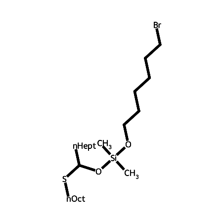 CCCCCCCCSC(CCCCCCC)O[Si](C)(C)OCCCCCCBr